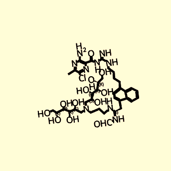 Cc1nc(N)c(C(=O)NC(=N)NCCCCc2ccc(C[C@@H](NC=O)NCCCN(C[C@H](O)[C@@H](O)[C@H](O)[C@H](O)CO)C[C@H](O)[C@@H](O)[C@H](O)[C@H](O)CO)c3ccccc23)nc1Cl